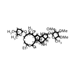 CC[C@H]1CCC[C@H](O[C@H]2CC[C@H](C)C(C)O2)[C@@H](C)C(=O)C2=C[C@H]3[C@@H]4C[C@H](O[C@@H]5OC(C)[C@H](OC)C(OC)C5OC)C[C@H]4C4NC4[C@H]3[C@@H]2CC(=O)O1